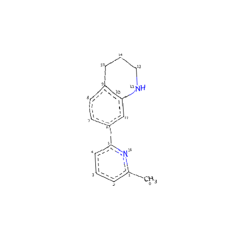 Cc1cccc(-c2ccc3c(c2)NCCC3)n1